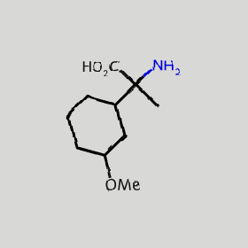 COC1CCCC(C(C)(N)C(=O)O)C1